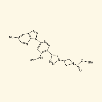 CC(C)Nc1cc(-n2ncc3cc(C#N)cnc32)ncc1-c1cn(C2CN(C(=O)OC(C)(C)C)C2)nn1